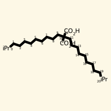 CC(C)CCCCCCCCCC(CCCCCCCCCC(C)C)(C(=O)O)C(=O)O